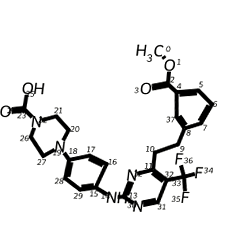 COC(=O)c1cccc(CCc2nc(Nc3ccc(N4CCN(C(=O)O)CC4)cc3)ncc2C(F)(F)F)c1